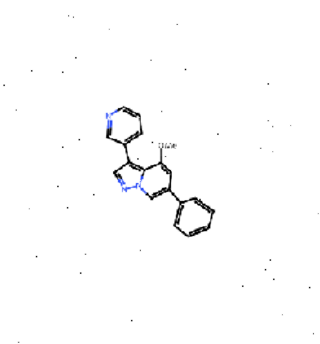 COc1cc(-c2ccccc2)cn2ncc(-c3cccnc3)c12